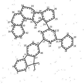 CC1(C)c2ccccc2-c2ccc(-c3nc(-c4ccccc4)nc(-c4cccc5c4sc4c5ccc5ccc6ccccc6c54)n3)cc21